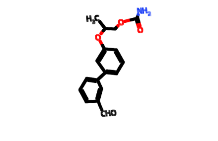 CC(COC(N)=O)Oc1cccc(-c2cccc(C=O)c2)c1